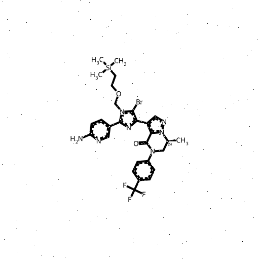 C[C@H]1CN(c2ccc(C(F)(F)F)cc2)C(=O)c2c(-c3nc(-c4ccc(N)nc4)n(COCC[Si](C)(C)C)c3Br)cnn21